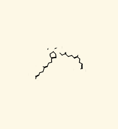 C=C(CC/C=C(\C)CCC=C(C)C)CC[C@@H]1C=C(CC/C=C(\C)CCC=C(C)C)C[C@H](CO)[C@H]1CO